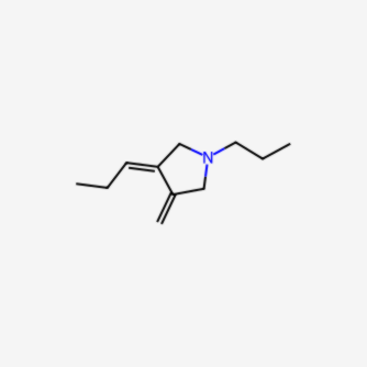 C=C1CN(CCC)C/C1=C/CC